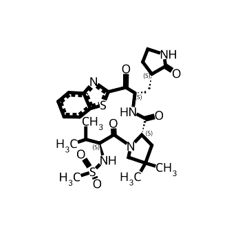 CC(C)[C@H](NS(C)(=O)=O)C(=O)N1CC(C)(C)C[C@H]1C(=O)N[C@@H](C[C@@H]1CCNC1=O)C(=O)c1nc2ccccc2s1